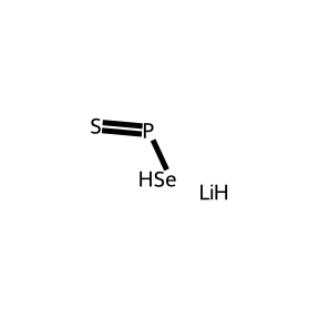 S=P[SeH].[LiH]